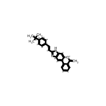 C=C(O)c1ccccc1-c1ccc2[nH]c(/C=C/c3ccc(C(C)(C)C)cc3)nc2c1